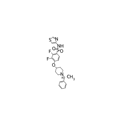 C[C@H](c1ccccc1)N1CCC(Oc2ccc(S(=O)(=O)Nc3cscn3)c(F)c2F)CC1